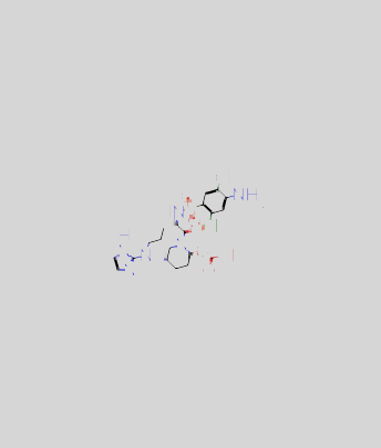 Nc1cc(Cl)c(S(=O)(=O)N[C@@H](CCCNc2ncc[nH]2)C(=O)N2CCCC[C@H]2OC(=O)O)cc1Cl